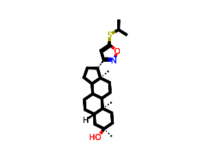 CC(C)Sc1cc([C@H]2CCC3C4CC[C@H]5C[C@](C)(O)CC[C@]5(C)C4CC[C@@]32C)no1